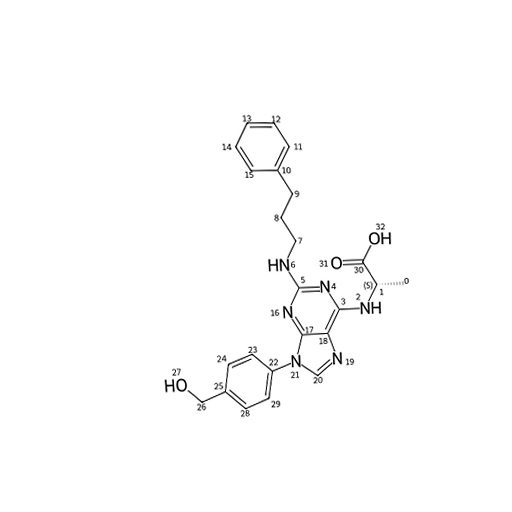 C[C@H](Nc1nc(NCCCc2ccccc2)nc2c1ncn2-c1ccc(CO)cc1)C(=O)O